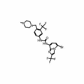 CN1CCN(Cc2ccc(NC(=O)Nc3ccc(Br)n4cc(C(F)(F)F)nc34)cc2C(F)(F)F)CC1